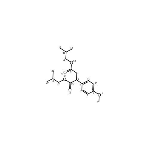 COc1ccc(C(CC(=O)OCC(C)C)C(=O)OCC(C)C)cc1